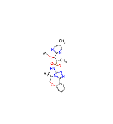 C=C1COc2ccccc2-c2nnc(NS(=O)(=O)[C@@H](C)[C@@H](OC(C)C)c3ncc(C)cn3)n21